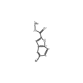 CC(C)(C)OC(=O)c1cc2cc(Br)ccc2o1